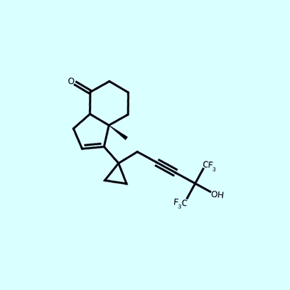 C[C@]12CCCC(=O)C1CC=C2C1(CC#CC(O)(C(F)(F)F)C(F)(F)F)CC1